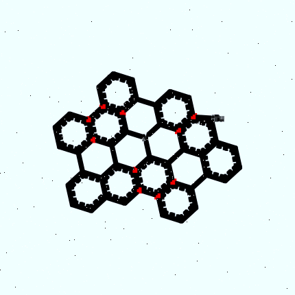 CC(C)(C)c1ccc(-c2ccccc2)c(N(c2ccccc2-c2cccc3cccc(-c4ccccc4)c23)c2ccccc2-c2cccc3cccc(-c4ccccc4)c23)c1